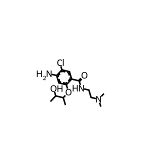 CC(O)C(C)Oc1cc(N)c(Cl)cc1C(=O)NCCN(C)C